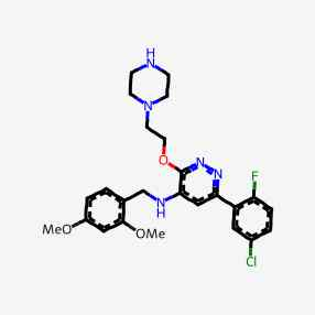 COc1ccc(CNc2cc(-c3cc(Cl)ccc3F)nnc2OCCN2CCNCC2)c(OC)c1